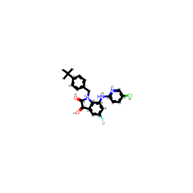 CC(C)(C)c1ccc(CN2C(=O)C(=O)c3cc(F)cc(Nc4ccc(Cl)cn4)c32)cc1